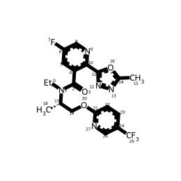 CCN(C(=O)c1cc(F)cnc1-c1nnc(C)o1)[C@@H](C)COc1ccc(C(F)(F)F)cn1